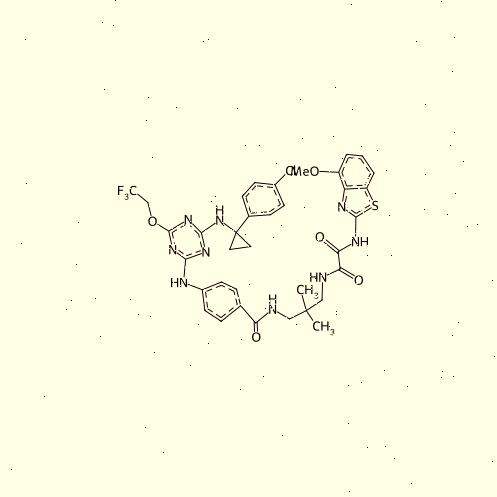 COc1cccc2sc(NC(=O)C(=O)NCC(C)(C)CNC(=O)c3ccc(Nc4nc(NC5(c6ccc(Cl)cc6)CC5)nc(OCC(F)(F)F)n4)cc3)nc12